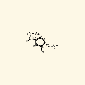 CC(=O)N[C@@H](C)c1ccc(C(=O)O)c(C)c1